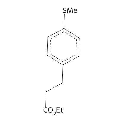 CCOC(=O)CCc1ccc(SC)cc1